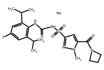 CC(C)c1cc(F)cc(C(C)C)c1NC(=O)NS(=O)(=O)c1cc(C(=O)N2CCC2)n(C)n1.[Na]